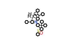 CC1(C)C(c2ccccc2)=C(c2ccccc2)c2ccc(N(c3ccc(-c4ccccc4)cc3)c3ccc4c(c3)C(c3ccccc3)(c3ccccc3)c3ccc5c(c3-4)Sc3ccccc3O5)cc21